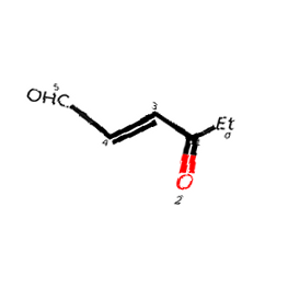 CCC(=O)C=CC=O